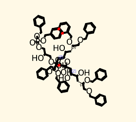 O=C(OCc1ccccc1)C(O)(/C=C(\OC(O)(/C=C(\O)C(O)C[C@@H](COCc1ccccc1)OCc1ccccc1)C(=O)OCc1ccccc1)C(O)C[C@@H](COCc1ccccc1)OCc1ccccc1)OCC(O)COP(=O)(OCc1ccccc1)OCc1ccccc1